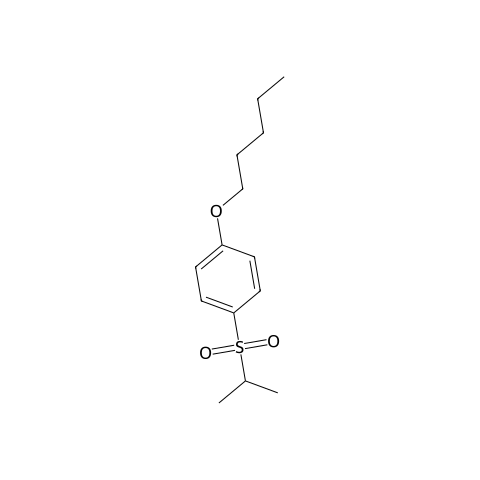 CCCCCOc1ccc(S(=O)(=O)C(C)C)cc1